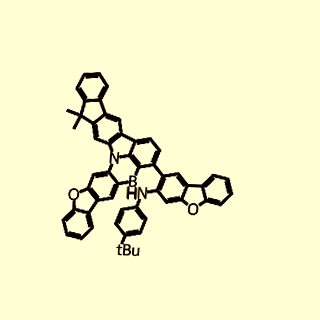 CC(C)(C)c1ccc(Nc2cc3oc4ccccc4c3cc2-c2ccc3c4cc5c(cc4n4c3c2Bc2cc3c(cc2-4)oc2ccccc23)C(C)(C)c2ccccc2-5)cc1